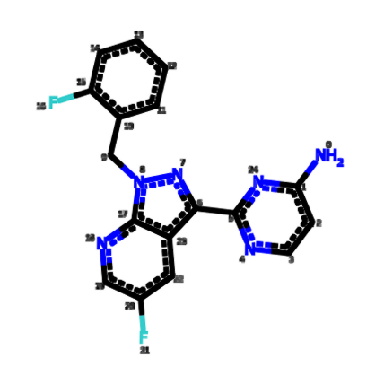 Nc1[c]cnc(-c2nn(Cc3ccccc3F)c3ncc(F)cc23)n1